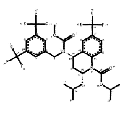 COC(=O)N(Cc1cc(C(F)(F)F)cc(C(F)(F)F)c1)[C@H]1C[C@@H](CC(C)C)N(C(=O)OC(C)C)c2ccc(C(F)(F)F)cc21